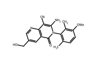 COc1ccc(C)c(-n2c(N)c(C#N)c3ncc(CO)cc3c2=O)c1C